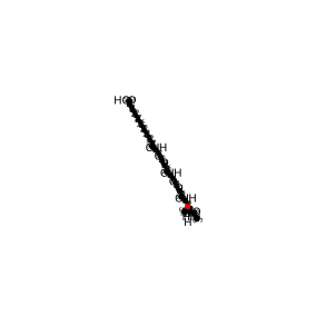 CC(C)(C)NC(=O)C(CCCCNC(=O)CCOCCOCCNC(=O)CCOCCOCCNC(=O)CCCCCCCCCCCCCCCCC(=O)O)NC(C)(C)C